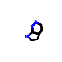 c1cc2c(nn1)NCC2